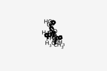 Cc1c(N2CCN(C(=O)c3ccccc3O)CC2)c(=O)n(C[C@H](NC(=O)OC(C)(C)C)c2ccccc2)c(=O)n1Cc1c(F)cccc1F